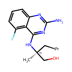 CC(C)C[C@@](C)(CO)Nc1nc(N)nc2cccc(F)c12